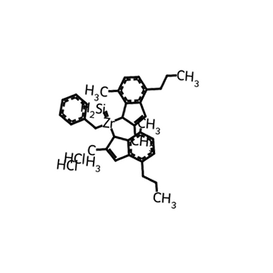 CCCc1ccc(C)c2c1C=C(C)[CH]2[Zr](=[SiH2])([CH2]c1ccccc1)[CH]1C(C)=Cc2c(CCC)ccc(C)c21.Cl.Cl